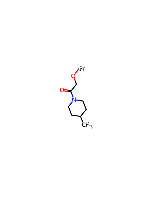 CC1CCN(C(=O)COC(C)C)CC1